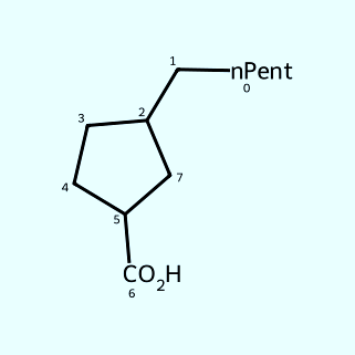 CCCCCCC1CCC(C(=O)O)C1